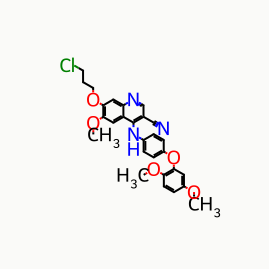 COc1ccc(OC)c(Oc2ccc(Nc3c(C#N)cnc4cc(OCCCCl)c(OC)cc34)cc2)c1